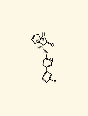 O=C1C[C@H]2CC=CC[C@H]2[C@@H]1/C=C/c1ccc(-c2cccc(F)c2)cn1